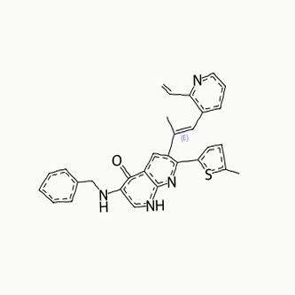 C=Cc1ncccc1/C=C(\C)c1cc2c(=O)c(NCc3ccccc3)c[nH]c2nc1-c1ccc(C)s1